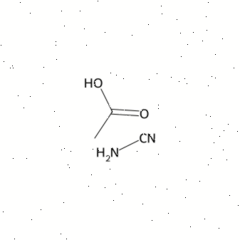 CC(=O)O.N#CN